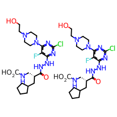 O=C(O)NC[C@@H](CC1CCCC1)C(=O)NNc1nc(Cl)nc(N2CCN(CCO)CC2)c1F.O=C(O)NC[C@@H](CC1CCCC1)C(=O)NNc1nc(Cl)nc(N2CCN(CCO)CC2)c1F